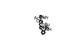 CCCCc1cn(-c2c(C(C)=O)ccn2C(C)C)c(=O)n1Cc1ccc(-c2ccccc2-c2nnn[nH]2)nc1